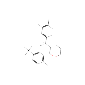 CC(C)=C(C)/C=C(\C)[C@H](C)[C@@H]1CCCO[C@@H]1c1cc(C(C)(C)C)ccc1C